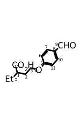 CCC(CCOc1ccc(C=O)cc1)C(=O)O